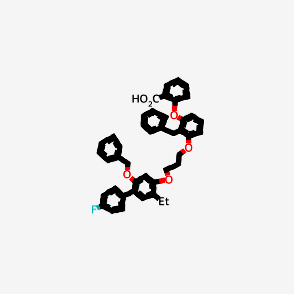 CCc1cc(-c2ccc(F)cc2)c(OCc2ccccc2)cc1OCCCOc1cccc(Oc2ccccc2C(=O)O)c1Cc1ccccc1